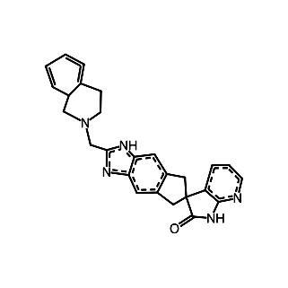 O=C1Nc2ncccc2C12Cc1cc3nc(CN4CCC5=C=CC=CC5C4)[nH]c3cc1C2